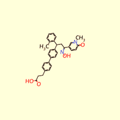 Cc1ccccc1C(CC(=NO)c1ccc(=O)n(C)c1)c1ccc(-c2ccc(CCC(=O)O)cc2)cc1